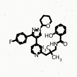 CC(C)(CNC(=O)c1ccccc1O)Cc1cc(-c2cn(C3CCCCO3)nc2-c2ccc(F)cc2)ccn1